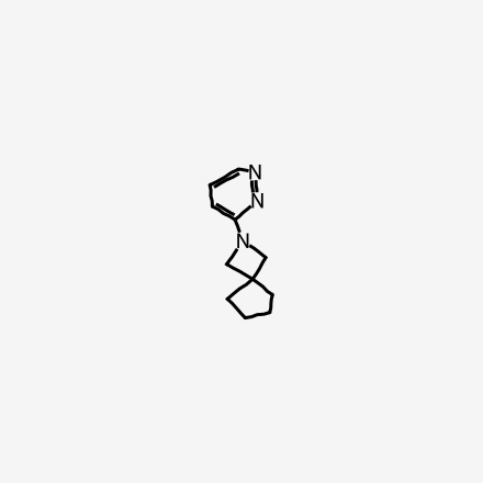 c1cnnc(N2CC3(CCCC3)C2)c1